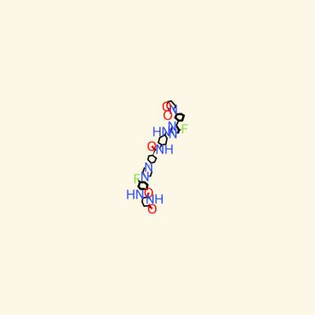 O=C1CC[C@@H](Nc2ccc(N3CCN([C@H]4CC[C@H](C(=O)NC5CCC(Nc6ncc(F)c(-c7cccc(N8CCCOC8=O)c7)n6)CC5)CC4)CC3)c(F)c2)C(=O)N1